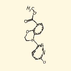 COC(=O)c1cccc2c1OCCN2c1ccc(Cl)nn1